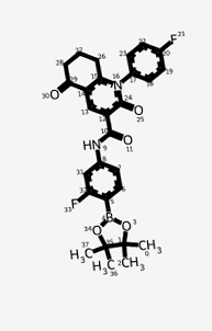 CC1(C)OB(c2ccc(NC(=O)c3cc4c(n(-c5ccc(F)cc5)c3=O)CCCC4=O)cc2F)OC1(C)C